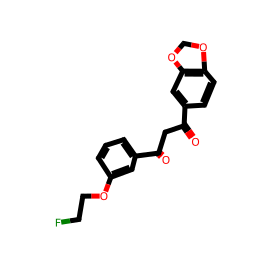 O=C(CC(=O)c1ccc2c(c1)OCO2)c1cccc(OCCF)c1